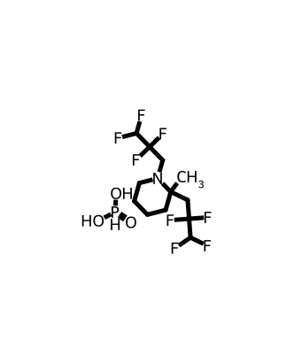 CC1(CC(F)(F)C(F)F)CCCCN1CC(F)(F)C(F)F.O=[PH](O)O